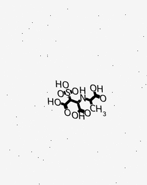 CC(NC(C(=O)O)C(C(=O)O)S(=O)(=O)O)C(=O)O